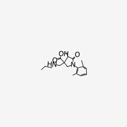 CCCNCC1(C(=O)O)CN(c2c(C)cccc2C)C(=O)C1C